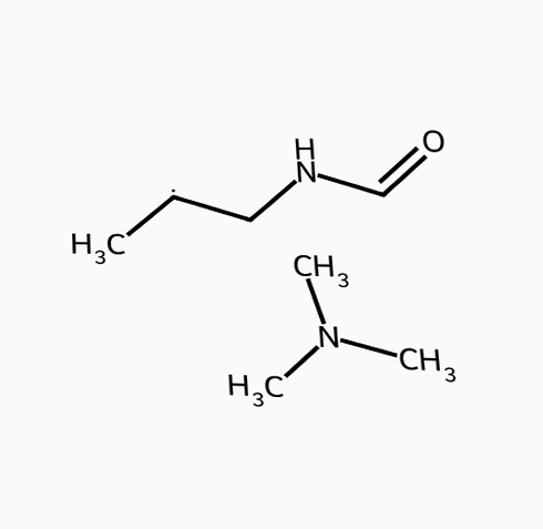 CN(C)C.C[CH]CNC=O